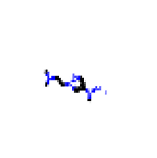 CN(C)CCn1cc(N(C)N)cn1